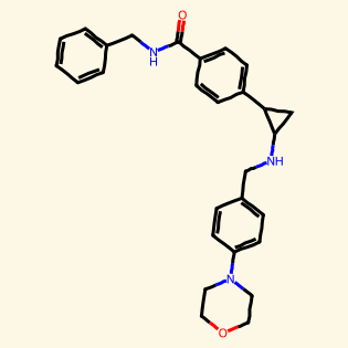 O=C(NCc1ccccc1)c1ccc(C2CC2NCc2ccc(N3CCOCC3)cc2)cc1